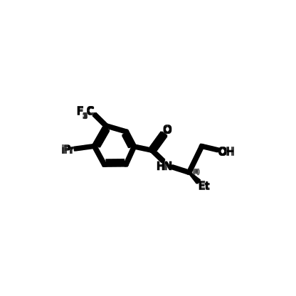 CC[C@H](CO)NC(=O)c1ccc(C(C)C)c(C(F)(F)F)c1